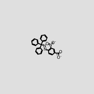 O=[N+]([O-])c1ccc(N=NC(c2ccccc2)(c2ccccc2)c2ccccc2)c([N+](=O)[O-])c1